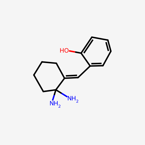 NC1(N)CCCC/C1=C\c1ccccc1O